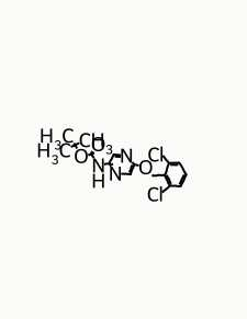 CC(C)(C)OC(=O)Nc1cnc(OCc2c(Cl)cccc2Cl)cn1